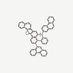 c1ccc(-c2cc3ccccc3c3ccccc23)c(-c2ccccc2N(c2ccc3c(ccc4ccccc43)c2)c2ccc3oc4c5ccccc5ccc4c3c2)c1